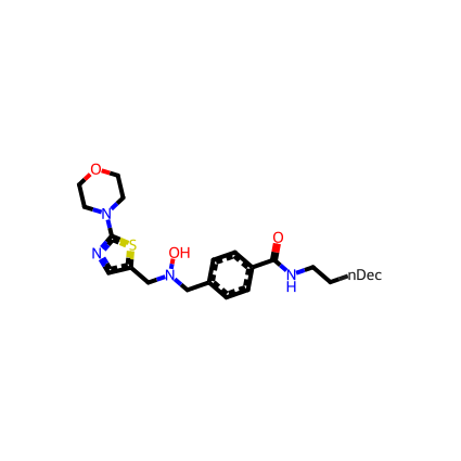 CCCCCCCCCCCCNC(=O)c1ccc(CN(O)Cc2cnc(N3CCOCC3)s2)cc1